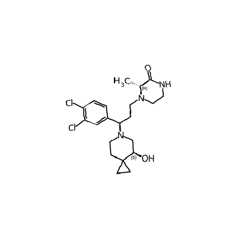 C[C@@H]1C(=O)NCCN1CCC(c1ccc(Cl)c(Cl)c1)N1CCC2(CC2)[C@H](O)C1